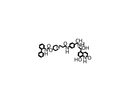 C[C@@H](NC[C@@H](O)c1ccc(O)c2[nH]c(=O)ccc12)c1ccc(NC(=O)CCN2CCC(OC(=O)Nc3ccccc3-c3ccccc3)CC2)cc1